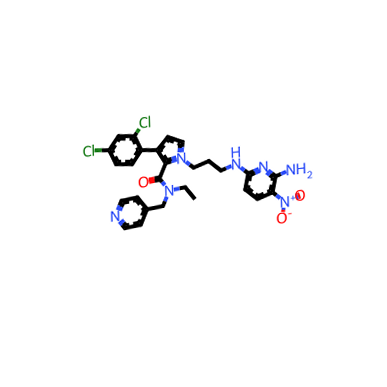 CCN(Cc1ccncc1)C(=O)c1c(-c2ccc(Cl)cc2Cl)ccn1CCCNc1ccc([N+](=O)[O-])c(N)n1